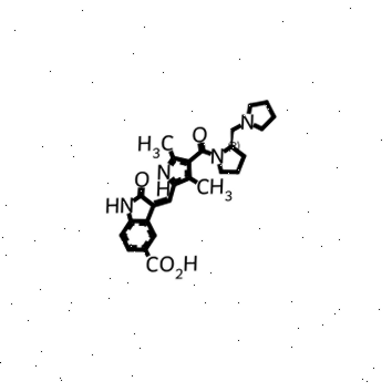 Cc1[nH]c(C=C2C(=O)Nc3ccc(C(=O)O)cc32)c(C)c1C(=O)N1CCC[C@@H]1CN1CCCC1